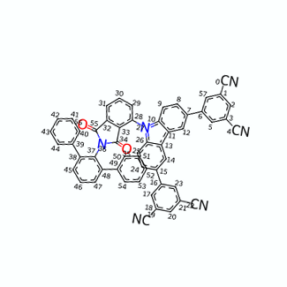 N#Cc1cc(C#N)cc(-c2ccc3c(c2)c2cc(-c4cc(C#N)cc(C#N)c4)ccc2n3-c2cccc3c2C(=O)N(c2c(-c4ccccc4)cccc2-c2ccccc2)C3=O)c1